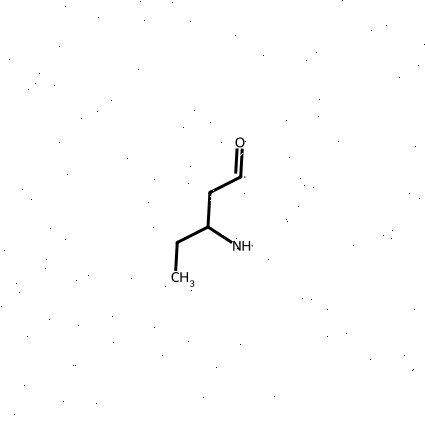 CCC([NH])C[C]=O